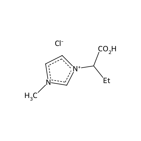 CCC(C(=O)O)[n+]1ccn(C)c1.[Cl-]